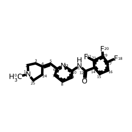 CN1CCC(=Cc2cccc(NC(=O)c3ccc(F)c(F)c3F)n2)CC1